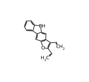 C=Cc1oc2cc3c(cc2c1C=C)Bc1ccccc1-3